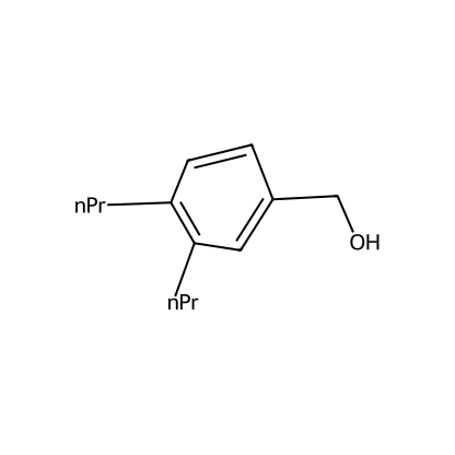 CCCc1ccc(CO)cc1CCC